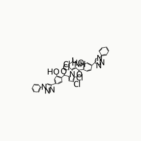 C=C(Cl)N/C(C(=O)c1ccc(-c2cn(-c3ccccc3)nn2)cc1O)=C(\Cl)n1c(C(=O)c2ccc(-c3cn(-c4ccccc4)nn3)cc2O)cc(Cl)c1Cl